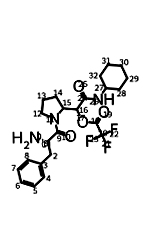 N[C@@H](Cc1ccccc1)C(=O)N1CCCC1C(OC(=O)C(F)(F)F)C(=O)NC1CCCCC1